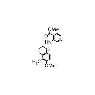 COC(=O)c1ccncc1NC[C@H]1CCCc2c1ccc(OC)c2C